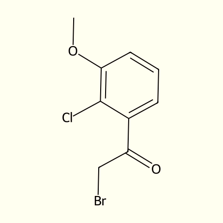 COc1cccc(C(=O)CBr)c1Cl